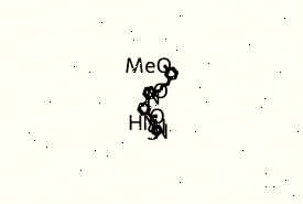 COc1cccc(CCOc2cccc(-c3cccc(C(=O)Nc4nncs4)c3)n2)c1